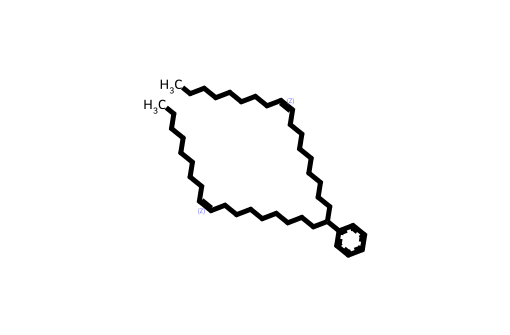 CCCCCCCC/C=C\CCCCCCCCC(CCCCCCCC/C=C\CCCCCCCC)c1ccccc1